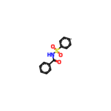 O=C(NS(=O)(=O)c1cc[c]cc1)c1ccccc1